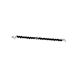 CCCCCCCCCCCCCCCCCCCCCCOOCCCCCCCCCCCCCCCCCC